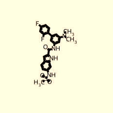 CN(C)c1cc(NC(=O)c2cc3ccc(NS(C)(=O)=O)cc3[nH]2)cc(-c2ccc(F)cc2F)c1